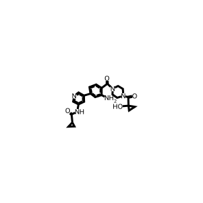 Nc1cc(-c2cncc(NC(=O)C3CC3)c2)ccc1C(=O)N1CCN(C(=O)C2(O)CC2)CC1